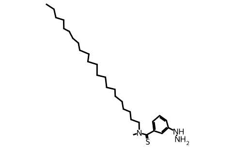 CCCCCCCCCCCCCCCCCCCCCCN(C)C(=S)c1cccc(NN)c1